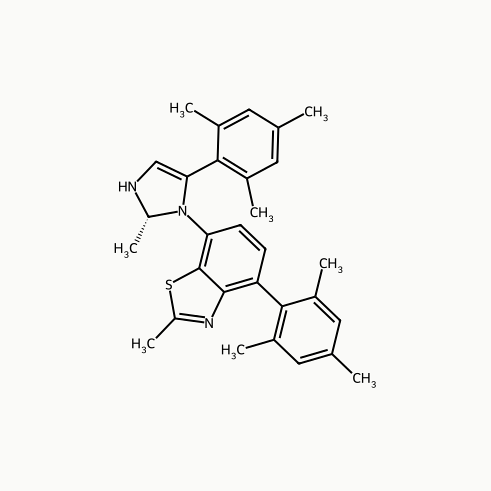 Cc1cc(C)c(C2=CN[C@@H](C)N2c2ccc(-c3c(C)cc(C)cc3C)c3nc(C)sc23)c(C)c1